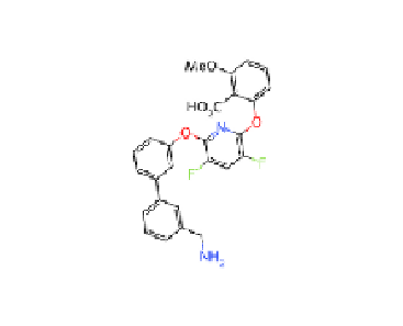 COc1cccc(Oc2nc(Oc3cccc(-c4cccc(CN)c4)c3)c(F)cc2F)c1C(=O)O